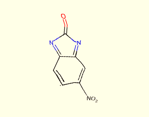 O=C1N=c2c[c]c([N+](=O)[O-])cc2=N1